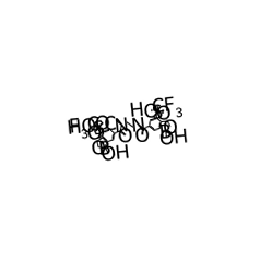 O=C(O)CN(CCNC(=O)c1cc2c(c(S(=O)(=O)C(F)(F)F)c1)COB2O)C(=O)c1cc2c(c(S(=O)(=O)C(F)(F)F)c1)COB2O